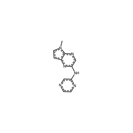 Cn1ccc2nc(Nc3cnccn3)cnc21